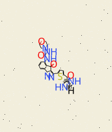 O=C(Nc1cccc2c1C(=O)C1=C(c3ccc(C(=O)[C@@]45CN[C@H](CN4)C5)s3)N=NC12)NN1CCOCC1